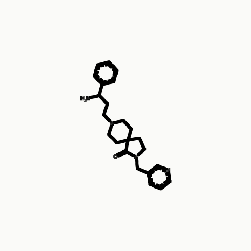 NC(CCN1CCC2(CC1)CCN(Cc1cccnc1)C2=O)c1ccccc1